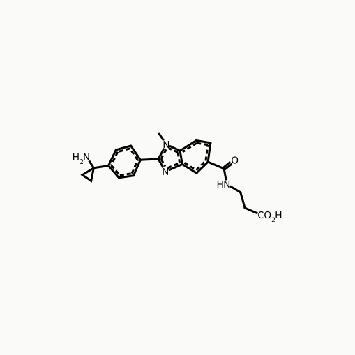 Cn1c(-c2ccc(C3(N)CC3)cc2)nc2cc(C(=O)NCCC(=O)O)ccc21